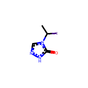 CC(I)n1cn[nH]c1=O